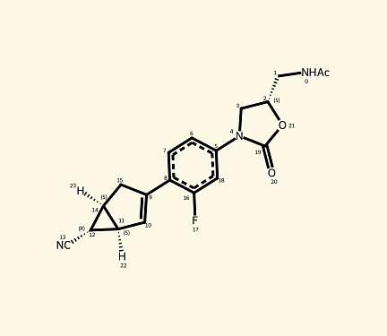 CC(=O)NC[C@H]1CN(c2ccc(C3=C[C@H]4[C@H](C#N)[C@H]4C3)c(F)c2)C(=O)O1